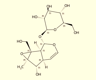 C[C@]12O[C@]1(CO)[C@H]1[C@H](O[C@@H]3O[C@H](CO)[C@@H](O)[C@H](O)[C@H]3O)OC=C[C@H]1[C@@H]2O